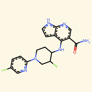 NC(=O)c1cnc2[nH]ccc2c1NC1CCN(c2ccc(F)cn2)CC1F